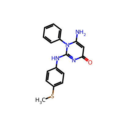 CSc1ccc(Nc2nc(=O)cc(N)n2-c2ccccc2)cc1